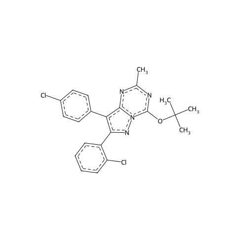 Cc1nc(OC(C)(C)C)n2nc(-c3ccccc3Cl)c(-c3ccc(Cl)cc3)c2n1